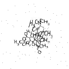 CO[C@](C)(C[C@@H](C)C=O)[C@H](O[C@@H]1O[C@H](C)CC(N(C)C)[C@H]1C)[C@@H](C)C1=C(C)C(=O)OC(C)(C)O1